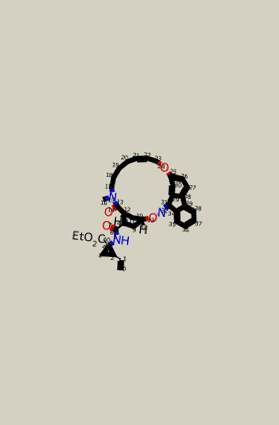 C=C[C@@H]1C[C@]1(NC(=O)[C@@H]1C[C@@H]2C[C@H]1C(=O)N(C)CCCCC=CCOc1ccc3c(c1)C(=NO2)c1ccccc1-3)C(=O)OCC